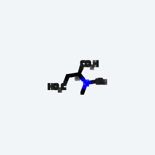 CN([C@@H](CC(=O)O)C(=O)O)C(C)(C)C